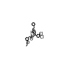 CCCOc1cccc(CC(=O)NCC(c2ccc(Cl)c(Cl)c2)N2CCN(CCc3ccccc3)CC2)c1